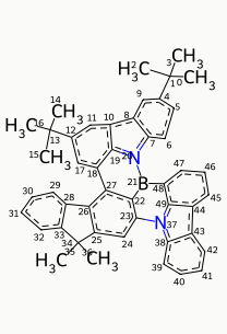 CC(C)(C)c1ccc2c(c1)c1cc(C(C)(C)C)cc3c1n2B1c2c(cc4c(c2-3)-c2ccccc2C4(C)C)-n2c3ccccc3c3cccc1c32